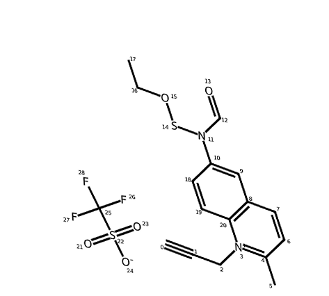 C#CC[n+]1c(C)ccc2cc(N(C=O)SOCC)ccc21.O=S(=O)([O-])C(F)(F)F